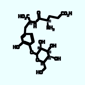 N[C@@H](CCC(=O)O)C(=O)N[C@@H](Cc1ccc(OC2O[C@H](CO)[C@@H](O)[C@H](O)[C@H]2O)c(O)c1)C(=O)O